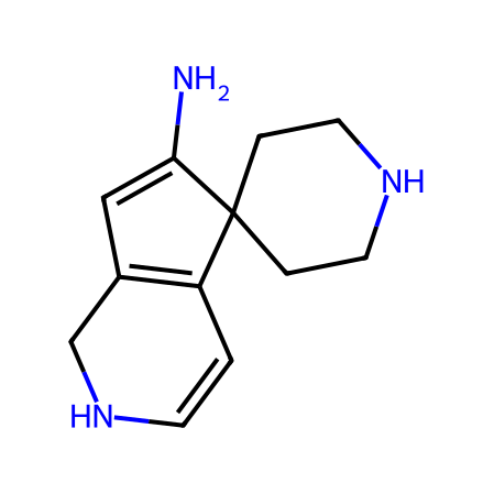 NC1=CC2=C(C=CNC2)C12CCNCC2